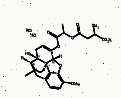 COc1ccc2c3c1O[C@H]1C(OC(=O)C(C)OC(=O)CC(N)C(=O)O)=CC[C@@]4(O)[C@@H](C2)N(C)CC[C@]314.Cl.Cl